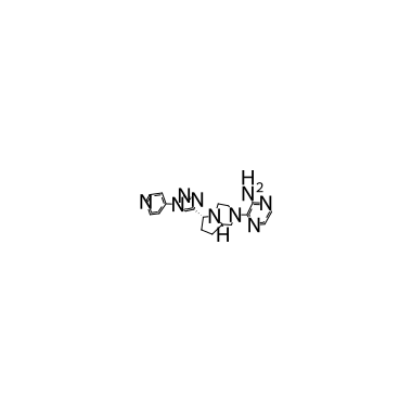 Nc1nccnc1N1CCN2[C@@H](CC[C@@H]2c2cn(-c3ccncc3)nn2)C1